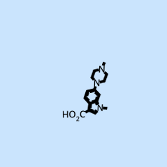 CN1CCN(c2ccc3c(C(=O)O)cn(C)c3c2)CC1